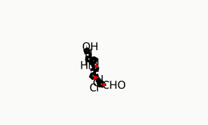 Cc1c(Nc2nccc3c(CN4CC[C@H](O)C4)ccnc23)cccc1-c1cccc(-c2nc3cc(C=O)cc(Cl)c3o2)c1C